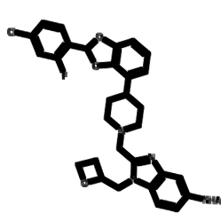 CC(=O)Nc1ccc2c(c1)nc(CN1CCC(c3cccc4c3OC(c3ccc(Cl)cc3F)O4)CC1)n2CC1CCO1